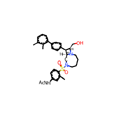 CC(=O)Nc1ccc(S(=O)(=O)N2CCCCN3[C@H](CO)C(c4ccc(-c5cccc(C)c5C)cc4)[C@@H]3C2)c(C)c1